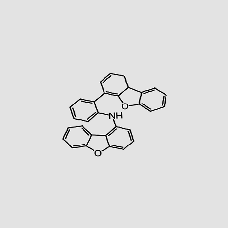 C1=CC(c2ccccc2Nc2cccc3oc4ccccc4c23)=C2Oc3ccccc3C2C1